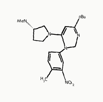 CCCCC1=NCN(c2ccc(C)c([N+](=O)[O-])c2)C(N2CC[C@H](NC)C2)=C1